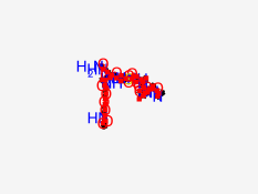 CC[C@H](C)[C@@H]([C@@H](CC(=O)N1CCC[C@H]1[C@H](OC)[C@@H](C)C(=O)NS(=O)(=O)c1ccc(NC(=O)[C@H](CCCNC(N)=O)NC(=O)[C@@H](NC(=O)CCOCCOCCOCCNC(=O)OC(C)(C)C)C(C)C)cc1)OC)N(C)C(=O)[C@@H](NC(=O)[C@H](C(C)C)N(C)C)C(C)C